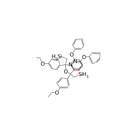 CCOc1ccc(C(C[SiH3])(OC(C[SiH3])(c2ccc(OCC)cc2)c2cccc(Oc3ccccc3)n2)c2cccc(Oc3ccccc3)n2)cc1